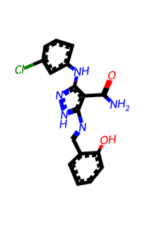 NC(=O)c1c(Nc2cccc(Cl)c2)n[nH]c1/N=C/c1ccccc1O